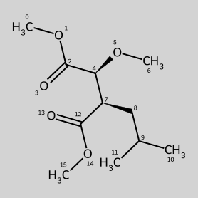 COC(=O)[C@@H](OC)[C@@H](CC(C)C)C(=O)OC